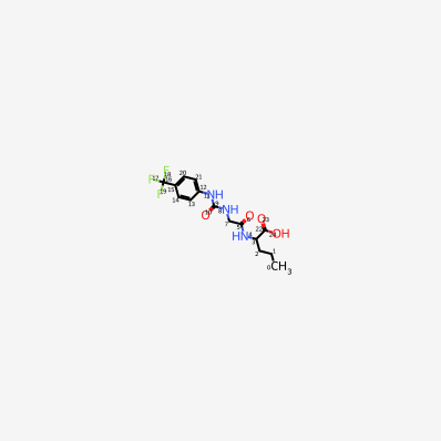 CCCC(NC(=O)CNC(=O)Nc1ccc(C(F)(F)F)cc1)C(=O)O